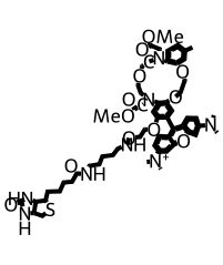 COC(=O)CN1CCOCCN(CC(=O)OC)c2cc(OCCONCCCCCNC(=O)CCCCC3SCC4NC(=O)NC43)c(-c3c4ccc(=[N+](C)C)cc-4oc4cc(N(C)C)ccc34)cc2OCCOc2cc(C)ccc21